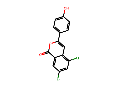 O=c1oc(-c2ccc(O)cc2)cc2c(Cl)cc(Br)cc12